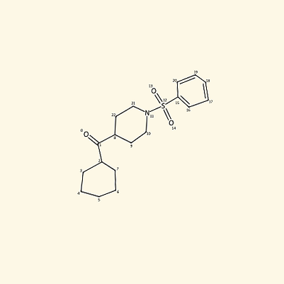 O=C(C1CCCCC1)C1CCN(S(=O)(=O)c2ccccc2)CC1